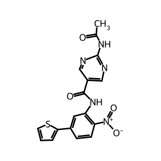 CC(=O)Nc1ncc(C(=O)Nc2cc(-c3cccs3)ccc2[N+](=O)[O-])cn1